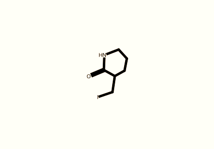 O=C1NCCCC1CI